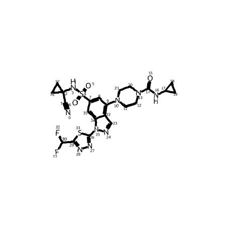 N#CC1(NS(=O)(=O)c2cc(N3CCN(C(=O)NC4CC4)CC3)c3cnn(-c4nnc(C(F)F)s4)c3c2)CC1